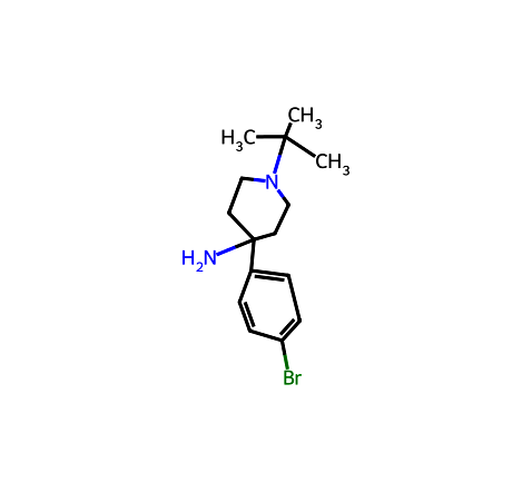 CC(C)(C)N1CCC(N)(c2ccc(Br)cc2)CC1